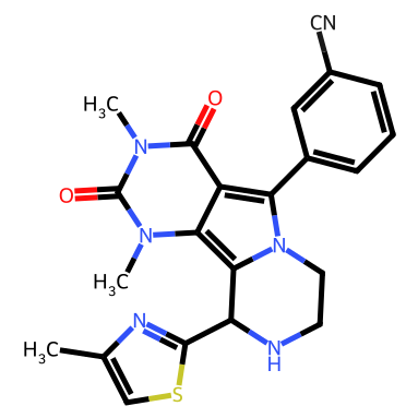 Cc1csc(C2NCCn3c(-c4cccc(C#N)c4)c4c(=O)n(C)c(=O)n(C)c4c32)n1